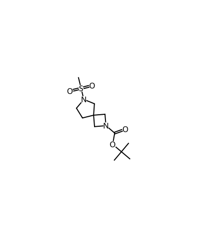 CC(C)(C)OC(=O)N1CC2(CCN(S(C)(=O)=O)C2)C1